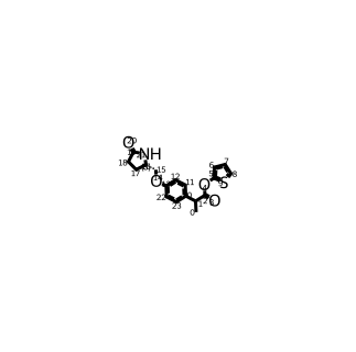 CC(C(=O)Oc1cccs1)c1ccc(OC[C@@H]2CCC(=O)N2)cc1